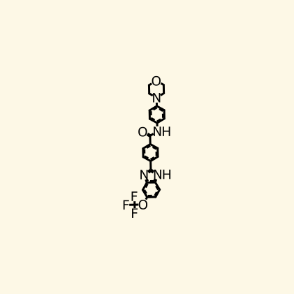 O=C(Nc1ccc(N2CCOCC2)cc1)c1ccc(-c2nc3cc(OC(F)(F)F)ccc3[nH]2)cc1